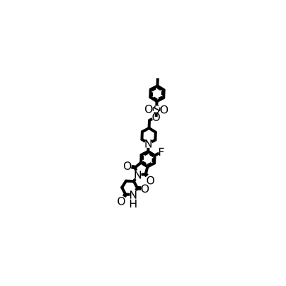 Cc1ccc(S(=O)(=O)OCC2CCN(c3cc4c(cc3F)C(=O)N(C3CCC(=O)NC3=O)C4=O)CC2)cc1